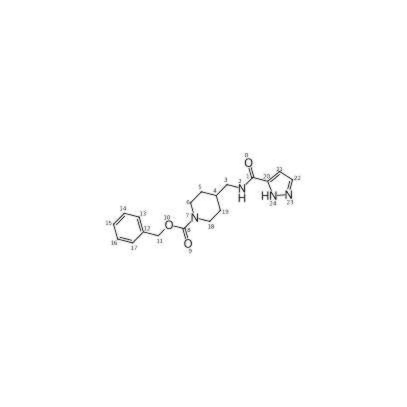 O=C(NCC1CCN(C(=O)OCc2ccccc2)CC1)c1ccn[nH]1